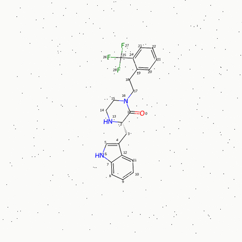 O=C1[C@H](Cc2c[nH]c3ccccc23)NCCN1CCc1ccccc1C(F)(F)F